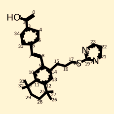 C=C(O)c1ccc(/C=C/c2cc3c(cc2CCCSc2ncccn2)C(C)(C)CCC3(C)C)cc1